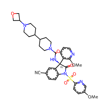 COc1ccc(S(=O)(=O)N2C(=O)[C@@](NC(=O)N3CCC(C4CCN(C5COC5)CC4)CC3)(c3cccnc3OC)c3cc(C#N)ccc32)nc1